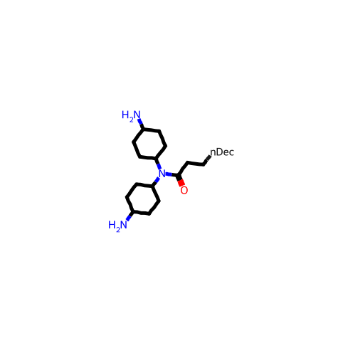 CCCCCCCCCCCCC(=O)N(C1CCC(N)CC1)C1CCC(N)CC1